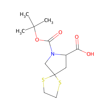 CC(C)(C)OC(=O)N1CC2(CC1C(=O)O)SCCS2